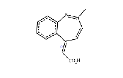 CC1=Nc2ccccc2/C(=C/C(=O)O)C=C1